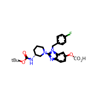 CC(C)(C)OC(=O)N[C@@H]1CCCN(c2nc3ccc(OC(=O)O)cc3n2Cc2ccc(F)cc2)C1